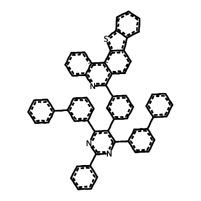 c1ccc(-c2cccc(-c3nc(-c4ccccc4)nc(-c4cccc(-c5ccccc5)c4)c3-c3cccc(-c4nc5ccccc5c5c4ccc4c6ccccc6sc45)c3)c2)cc1